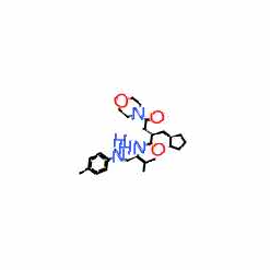 Cc1ccc(NC[C@@H](NC(=O)[C@@H](CC(=O)N2CCOCC2)CC2CCCC2)C(C)C)cc1